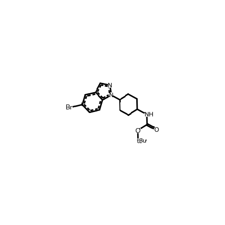 CC(C)(C)OC(=O)NC1CCC(n2ncc3cc(Br)ccc32)CC1